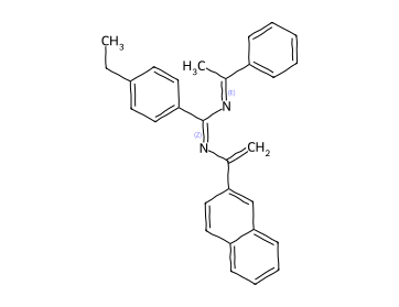 C=C(/N=C(\N=C(/C)c1ccccc1)c1ccc(CC)cc1)c1ccc2ccccc2c1